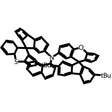 CC(C)(C)c1ccc2c(c1)C1(c3ccccc3Oc3ccc(N(c4ccc5c(c4)C4(c6ccccc6SC6C=CC=CC64)c4ccccc4-5)c4cccc5ccccc45)cc31)c1cc(C(C)(C)C)ccc1-2